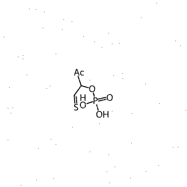 CC(=O)C(C=S)OP(=O)(O)O